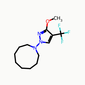 COc1nn(N2CCCCCCCC2)cc1C(F)(F)F